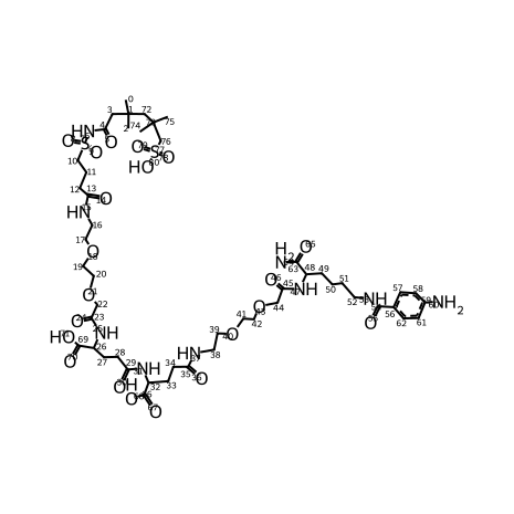 CC(C)(CC(=O)NS(=O)(=O)CCCC(=O)NCCOCCOCC(=O)NC(CCC(=O)NC(CCC(=O)NCCOCCOCC(=O)NC(CCCCNC(=O)c1ccc(N)cc1)C(N)=O)C(=O)O)C(=O)O)CC(C)(C)CS(=O)(=O)O